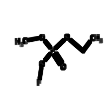 CCOP(=O)(OC)OF